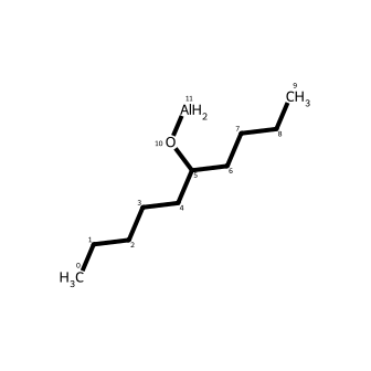 CCCCCC(CCCC)[O][AlH2]